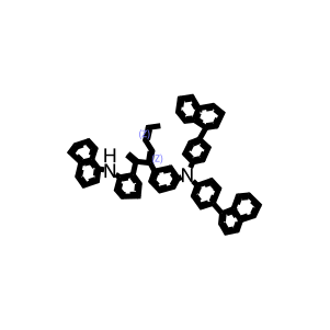 C=C(/C(=C\C=C/C)c1cccc(N(c2ccc(-c3cccc4ccccc34)cc2)c2ccc(-c3cccc4ccccc34)cc2)c1)c1ccccc1Nc1cccc2ccccc12